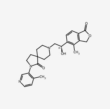 Cc1ccncc1N1CCC2(CCN(C[C@H](O)c3ccc4c(c3C)COC4=O)CC2)C1=O